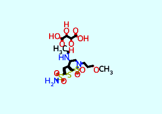 CCN[C@H]1CN(CCCOC)S(=O)(=O)c2sc(S(N)(=O)=O)cc21.O=C(O)C(O)C(O)C(=O)O